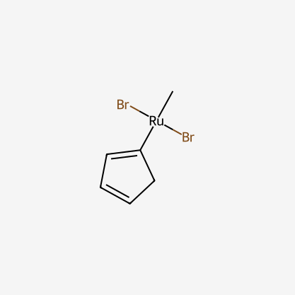 [CH3][Ru]([Br])([Br])[C]1=CC=CC1